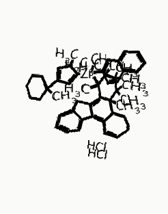 Cl.Cl.[CH2]=[Zr]([CH3])([C]1=CC(C2(C)CCCCC2)=CC1C)([c]1ccc2ccccc2c1)[C]1(C)C2=C3Cc4ccccc4C3=C3C=CCCC3C2(C)C(C)(C)C(C)(C)C1(C)C